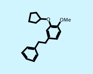 COc1ccc([CH]Cc2ccccc2)cc1OC1CCCC1